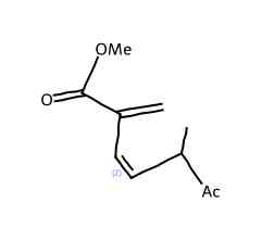 C=C(/C=C\C(C)C(C)=O)C(=O)OC